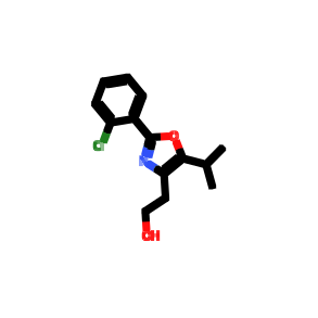 CC(C)c1oc(-c2ccccc2Cl)nc1CCO